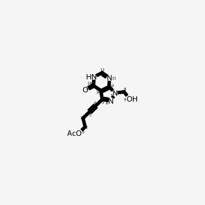 CC(=O)OCCC#Cc1nn(CO)c2nc[nH]c(=O)c12